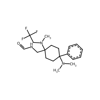 CN(CC(F)(F)F)C1(CNC=O)CCC(c2ccccc2)(N(C)C)CC1